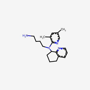 Cc1cnc(N(CCCCN)C2CCCc3cccnc32)c(C)c1